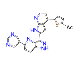 CC(=O)c1ccc(-c2ccnc3[nH]c(-c4n[nH]c5ccc(-c6cncnc6)nc45)cc23)s1